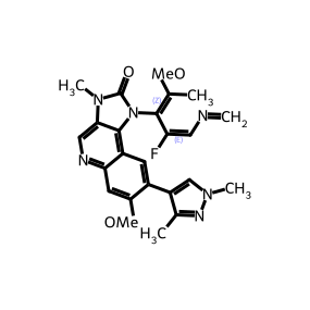 C=N/C=C(F)\C(=C(/C)OC)n1c(=O)n(C)c2cnc3cc(OC)c(-c4cn(C)nc4C)cc3c21